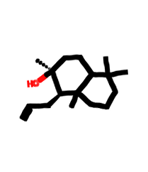 C=CC[C@@H]1C2(C)CCCC(C)(C)C2CC[C@]1(C)O